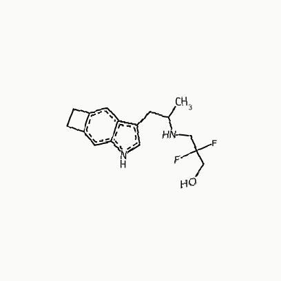 CC(Cc1c[nH]c2cc3c(cc12)CC3)NCC(F)(F)CO